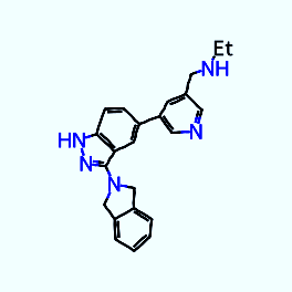 CCNCc1cncc(-c2ccc3[nH]nc(N4Cc5ccccc5C4)c3c2)c1